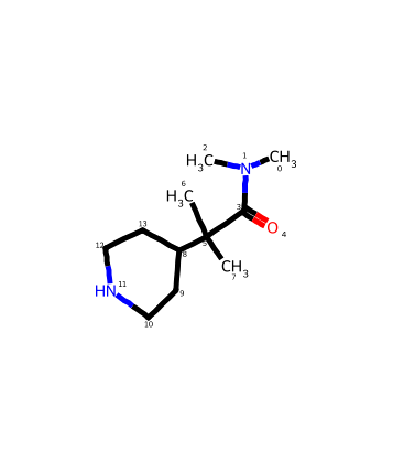 CN(C)C(=O)C(C)(C)C1CCNCC1